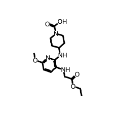 CCOC(=O)CNc1ccc(OC)nc1NC1CCN(C(=O)O)CC1